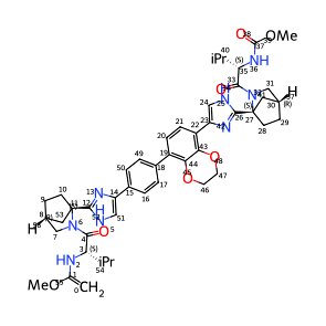 C=C(N[C@H](C(=O)N1C[C@@H]2CC[C@@]1(c1nc(-c3ccc(-c4ccc(-c5c[nH]c([C@@]67CC[C@@H](CN6C(=O)[C@@H](NC(=O)OC)C(C)C)C7)n5)c5c4OCCO5)cc3)c[nH]1)C2)C(C)C)OC